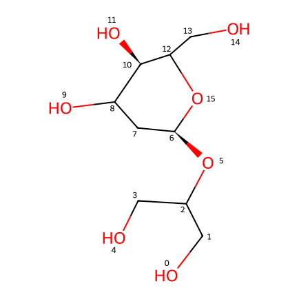 OCC(CO)O[C@H]1CC(O)[C@@H](O)C(CO)O1